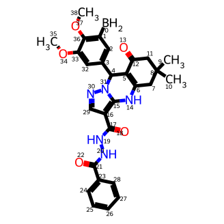 Bc1cc(C2C3=C(CC(C)(C)CC3=O)Nc3c(C(=O)NNC(=O)c4ccccc4)cnn32)cc(OC)c1OC